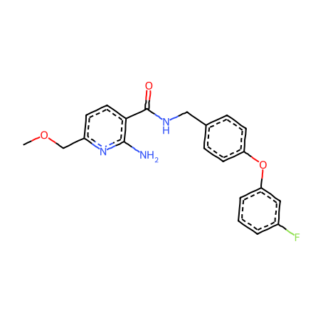 COCc1ccc(C(=O)NCc2ccc(Oc3cccc(F)c3)cc2)c(N)n1